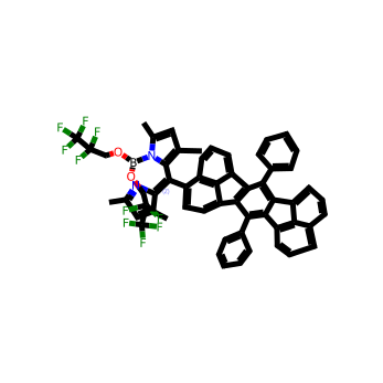 CC1=CC(C)=N/C1=C(/c1ccc2c3c(-c4ccccc4)c4c5cccc6cccc(c4c(-c4ccccc4)c3c3cccc1c32)c65)c1c(C)cc(C)n1B(OCC(F)(F)C(F)(F)F)OCC(F)(F)C(F)(F)F